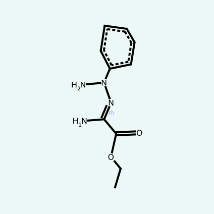 CCOC(=O)/C(N)=N/N(N)c1ccccc1